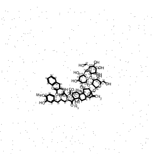 C=C1C[C@@]23CC[C@H]4[C@@](C)(CCC[C@@]4(C)C(=O)N(CCCc4ccc(OC)c(O)c4)[C@H](CC(=O)O)C(=O)NC(Cc4ccccc4)C(=O)OC)[C@@H]2CC[C@]1(O[C@@H]1O[C@H](CO)[C@@H](O)[C@H](O[C@@H]2O[C@H](CO)[C@@H](O)[C@H](O)[C@H]2O)[C@H]1O[C@@H]1O[C@H](CO)[C@@H](O)[C@H](O)[C@H]1O)C3